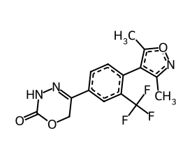 Cc1noc(C)c1-c1ccc(C2=NNC(=O)OC2)cc1C(F)(F)F